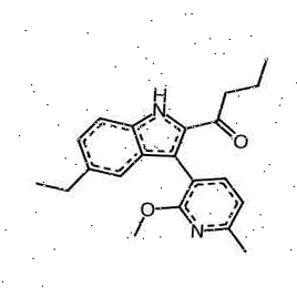 CCCC(=O)c1[nH]c2ccc(CC)cc2c1-c1ccc(C)nc1OC